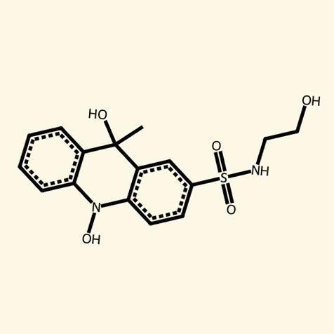 CC1(O)c2ccccc2N(O)c2ccc(S(=O)(=O)NCCO)cc21